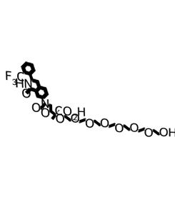 C[C@@](OCCOCCOCCOCCOCCOCCOCCO)(C(=O)O)C1CN(c2ccc3cc(-c4ccccc4C(F)(F)F)[nH]c(=O)c3c2)C(=O)O1